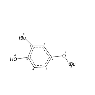 CC(C)(C)Oc1ccc(O)c(C(C)(C)C)c1